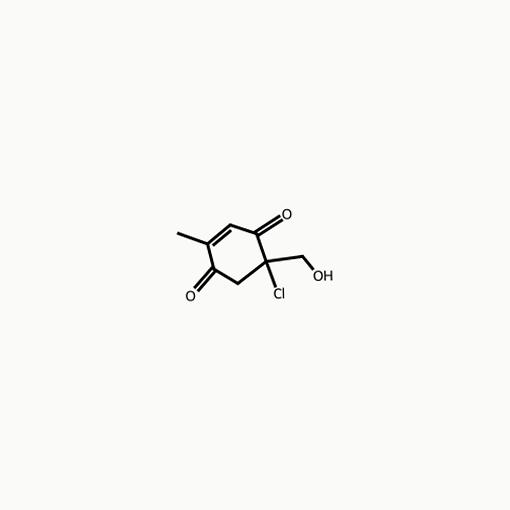 CC1=CC(=O)C(Cl)(CO)CC1=O